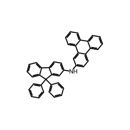 c1ccc(C2(c3ccccc3)c3ccccc3-c3ccc(Nc4ccc5c6ccccc6c6ccccc6c5c4)cc32)cc1